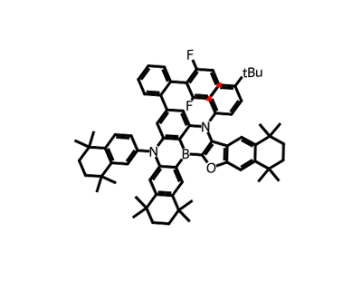 CC(C)(C)c1ccc(N2c3cc(-c4ccccc4-c4c(F)cccc4F)cc4c3B(c3cc5c(cc3N4c3ccc4c(c3)C(C)(C)CCC4(C)C)C(C)(C)CCC5(C)C)c3oc4cc5c(cc4c32)C(C)(C)CCC5(C)C)cc1